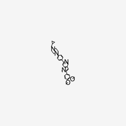 COc1ccc(-c2cc3cnc(-c4ccc(N5CCN(CC6CC6)CC5)cc4)cc3n2C)cc1OC